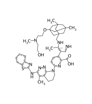 C/C(NCC12CC3(C)CC(C)(C1)CC(OCCN(C)CCO)(C3)C2)=C(/C=N)c1ccc(N2CCCc3c2nnc(Nc2nc4ccccc4s2)c3C)nc1C(=O)O